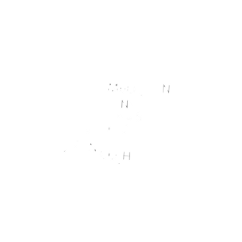 COC1(c2nc3cc(C4=CC[C@H](C)CN4C(=O)O)ccc3s2)CCN(C)CC1